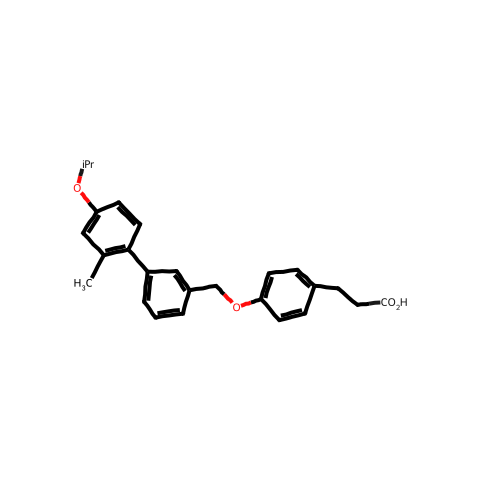 Cc1cc(OC(C)C)ccc1-c1cccc(COc2ccc(CCC(=O)O)cc2)c1